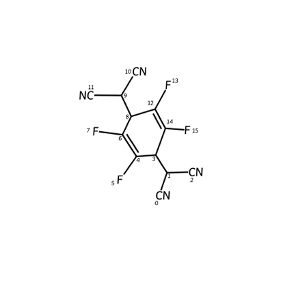 N#CC(C#N)C1C(F)=C(F)C(C(C#N)C#N)C(F)=C1F